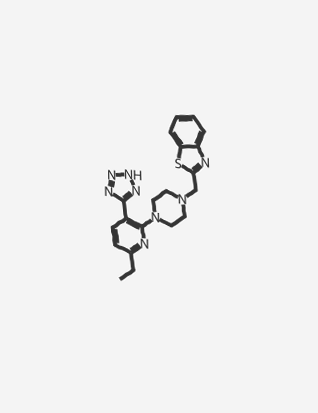 CCc1ccc(-c2nn[nH]n2)c(N2CCN(Cc3nc4ccccc4s3)CC2)n1